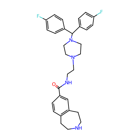 O=C(NCCN1CCN(C(c2ccc(F)cc2)c2ccc(F)cc2)CC1)c1ccc2c(c1)CCNCC2